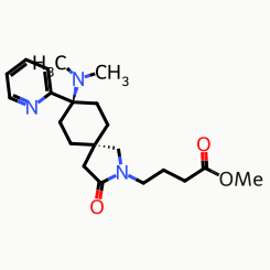 COC(=O)CCCN1C[C@]2(CC[C@](c3ccccn3)(N(C)C)CC2)CC1=O